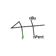 CCCCCC(C)(CCCC)C1(F)CC1